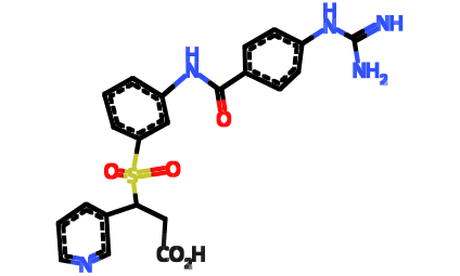 N=C(N)Nc1ccc(C(=O)Nc2cccc(S(=O)(=O)C(CC(=O)O)c3cccnc3)c2)cc1